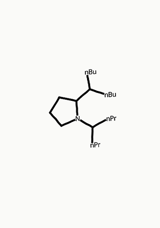 CCCCC(CCCC)C1CCCN1C(CCC)CCC